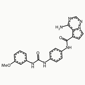 COc1cccc(NC(=O)Nc2ccc(NC(=O)c3ccn4ncnc(N)c34)cc2)c1